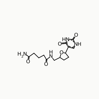 NC(=O)CCCC(=O)NCC1CCC(c2c[nH]c(=O)[nH]c2=O)O1